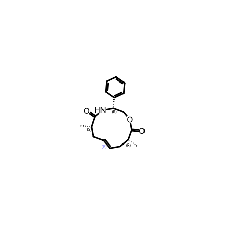 C[C@@H]1C/C=C/C[C@H](C)C(=O)N[C@H](c2ccccc2)COC1=O